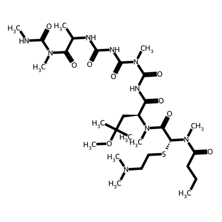 CCCC(=O)N(C)[C@H](SCCN(C)C)C(=O)N(C)[C@@H](CC(C)(C)OC)C(=O)NC(=O)N(C)C(=O)NC(=O)NC(C)C(=O)N(C)C(=O)NC